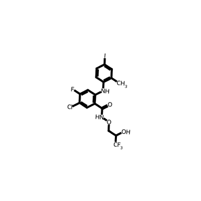 Cc1cc(I)ccc1Nc1cc(F)c(Cl)cc1C(=O)NOCC(O)C(F)(F)F